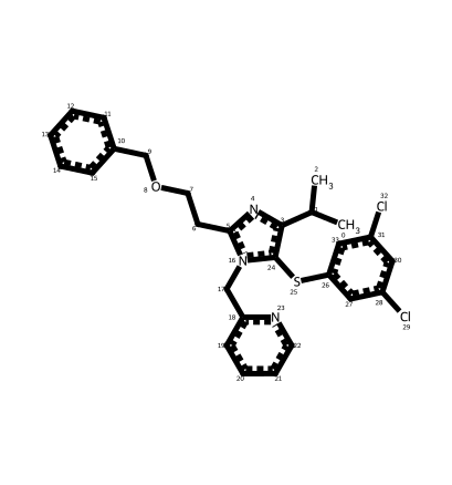 CC(C)c1nc(CCOCc2ccccc2)n(Cc2ccccn2)c1Sc1cc(Cl)cc(Cl)c1